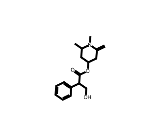 C=C1CC(OC(=O)C(CO)c2ccccc2)CC(C)N1C